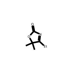 CCC1=NC(=O)OC1(C)C